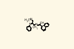 C\N=C/C(=N/c1ccccc1)C(/C)=N/C=C(\C)c1cccc2ccccc12